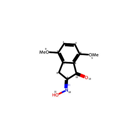 COc1ccc(OC)c2c1C/C(=N\O)C2=O